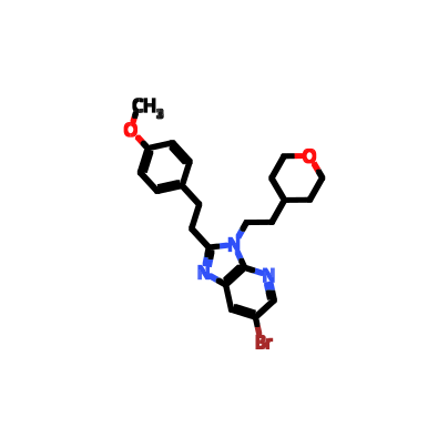 COc1ccc(CCc2nc3cc(Br)cnc3n2CCC2CCOCC2)cc1